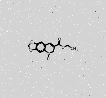 CCOC(=O)C1=Cc2cc3c(cc2N(Cl)C1)OCO3